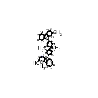 C#C/C=C\C1=C(C)C2=CC(C=CC=C2)N1C1=CC=C(C2(C)C=CC(n3c4c(c5c3CC(C)C=C5)C=CCC4)=CC2)C(C)C1